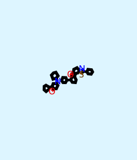 c1ccc(-c2nc3ccc4oc5c(-c6ccc(N(c7ccccc7)c7ccc8oc9ccccc9c8c7)cc6)cccc5c4c3s2)cc1